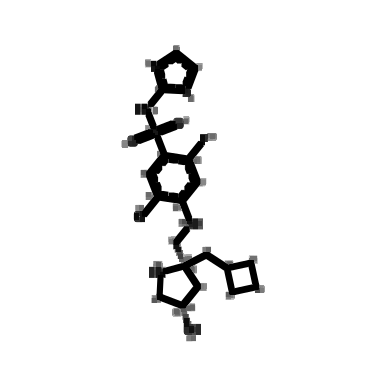 O=S(=O)(Nc1nccs1)c1cc(Cl)c(NC[C@]2(CC3CCC3)C[C@H](O)CN2)cc1F